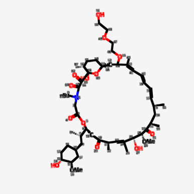 CCCCN1CC(=O)O[C@H]([C@@H](C)C[C@@H]2CC[C@@H](O)[C@H](OC)C2)CC(=O)[C@H](C)/C=C(\C)[C@@H](O)[C@@H](OC)C(=O)[C@H](C)C[C@H](C)/C=C/C=C/C=C(\C)C(OCCOCCO)C[C@H]2CC[C@@H](C)[C@](O)(O2)C(=O)C1=O